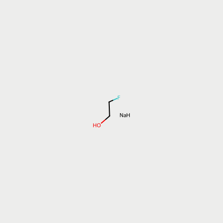 OCCF.[NaH]